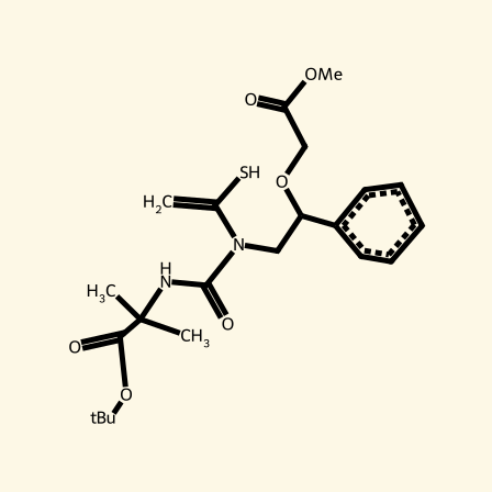 C=C(S)N(CC(OCC(=O)OC)c1ccccc1)C(=O)NC(C)(C)C(=O)OC(C)(C)C